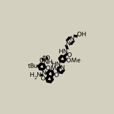 COc1cc(Nc2cc(Oc3ccc(N(C(N)=O)c4cc(C(C)(C)C)cc(NS(C)(=O)=O)c4OC)c4ccccc34)ccn2)ccc1C(=O)NCCN1CCN(CCO)CC1